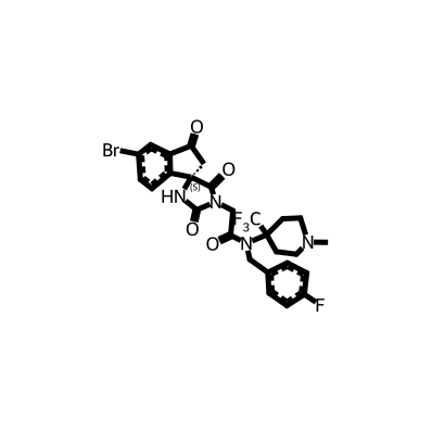 CN1CCC(N(Cc2ccc(F)cc2)C(=O)CN2C(=O)N[C@]3(CC(=O)c4cc(Br)ccc43)C2=O)(C(F)(F)F)CC1